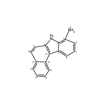 Bc1cccc2c1[nH]c1ccc3ccccc3c12